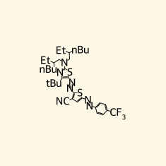 CCCCC(CC)CN(CC(CC)CCCC)c1nc(C(C)(C)C)c(N=Nc2sc(N=Nc3ccc(C(F)(F)F)cc3)cc2C#N)s1